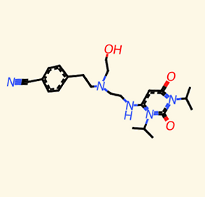 CC(C)n1c(NCCN(CCO)CCc2ccc(C#N)cc2)cc(=O)n(C(C)C)c1=O